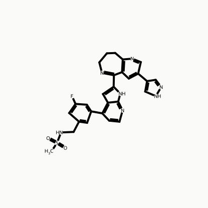 CS(=O)(=O)NCc1cc(F)cc(-c2ccnc3[nH]c(C4=NCCCc5ncc(-c6cn[nH]c6)cc54)cc23)c1